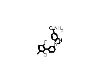 Cc1ccc(F)c(-c2cccc(-n3cnc4cc(C(N)=O)ccc43)c2)c1Cl